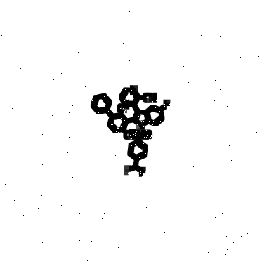 N#Cc1nccnc1-c1c(-c2c(C(=O)O)ccc(-c3ccccc3)c2Cl)n(S(=O)(=O)c2ccc(C(F)F)cc2)c2ccc(F)cc12